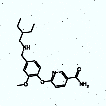 CCC(CC)CNCc1ccc(Oc2ccc(C(N)=O)cn2)c(OC)c1